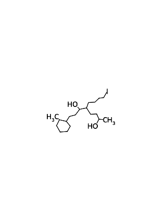 CC(O)CCC(CCCCI)C(O)CCC1CCCCC1C